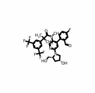 CN(C(=O)C(C)(C)c1cc(C(F)(F)F)cc(C(F)(F)F)c1)c1cnc(N2C[C@H](O)C[C@H]2CO)cc1-c1ccc(F)cc1C=O